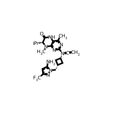 C=C=[N+](c1nc(C)c2c(n1)N(C)[C@@H](C(C)C)C(=O)N2)[C@H]1C[C@@H](Cn2nc(C(F)(F)F)cc2N)C1